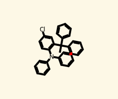 CC(c1ccccc1)(c1ccccc1)c1cc(Cl)ccc1N(c1ccccc1)c1ccccc1